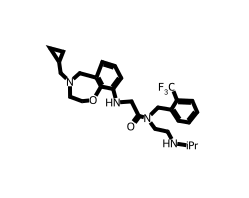 CC(C)NCCN(Cc1ccccc1C(F)(F)F)C(=O)CNc1cccc2c1OCCN(CC1CC1)C2